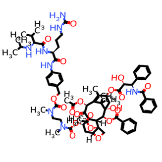 CC(=O)O[C@H]1C(=O)[C@]2(C)[C@@H](OC(=O)N(C)CCN(C)C(=O)OCc3ccc(NC(=O)[C@H](CCCNC(N)=O)NC(=O)[C@@H](NC(C)C)C(C)C)cc3)C[C@H]3OC[C@@]3(OC(C)=O)[C@H]2[C@H](OC(=O)c2ccccc2)[C@]2(O)C[C@H](OC(=O)[C@H](O)[C@@H](NC(=O)c3ccccc3)c3ccccc3)C(C)=C1C2(C)C